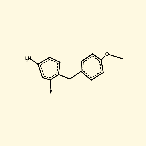 COc1ccc(Cc2ccc(N)cc2F)cc1